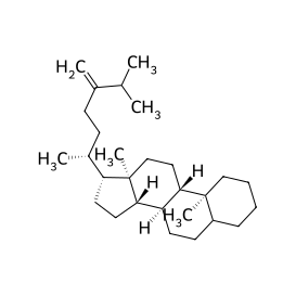 C=C(CC[C@@H](C)[C@H]1CC[C@H]2[C@@H]3CCC4CCCC[C@]4(C)[C@H]3CC[C@]12C)C(C)C